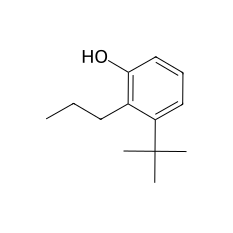 CCCc1c(O)cccc1C(C)(C)C